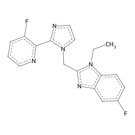 CCn1c(Cn2ccnc2-c2ncccc2F)nc2cc(F)ccc21